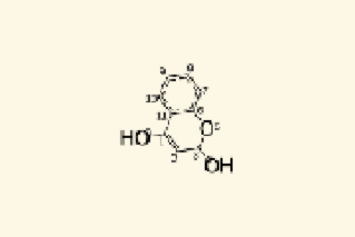 OC1=CC(O)Oc2ccccc21